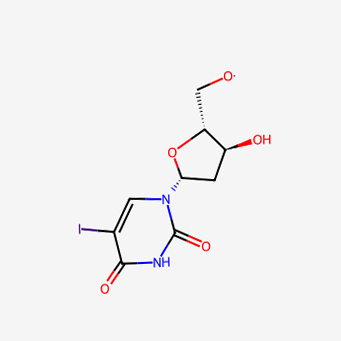 [O]C[C@H]1O[C@@H](n2cc(I)c(=O)[nH]c2=O)C[C@@H]1O